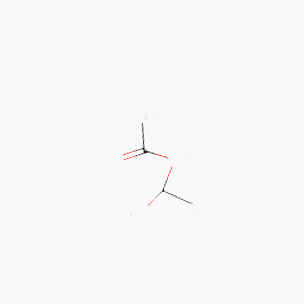 CCCC(=O)OC([O])CC